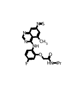 Cc1cc(N=S)cc2ncnc(Nc3ccc(F)cc3OCC(=O)NC(C)C)c12